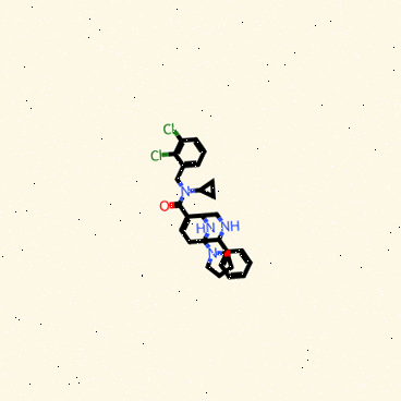 O=C(C1=CCC2(N3CCCC3)NC1CNC2c1ccccc1)N(Cc1cccc(Cl)c1Cl)C1CC1